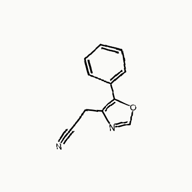 N#CCc1ncoc1-c1ccccc1